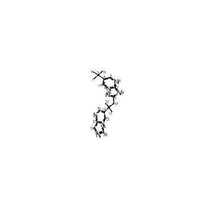 CC(C)(C)c1cnc2nc(CC(C)(C)c3cnc4cncn4c3)nn2c1